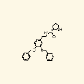 O=C(NCCc1ccc(OCc2ccccc2)c(OCc2ccccc2)c1)[C@@H]1CCCN1